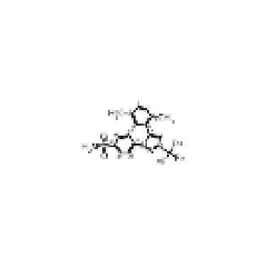 Cc1ccc(C)c(-c2cc(C(F)(F)F)nn2-c2ccc(S(N)(=O)=O)cc2)c1